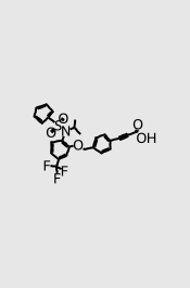 CC(C)N(c1ccc(C(F)(F)F)cc1OCc1ccc(C#CC(=O)O)cc1)S(=O)(=O)c1ccccc1